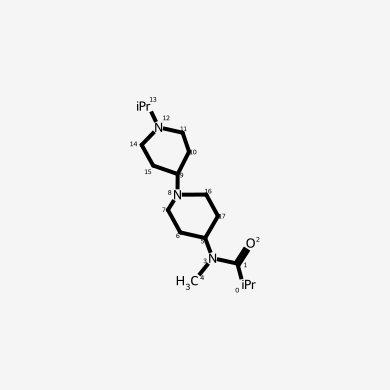 CC(C)C(=O)N(C)C1CCN(C2CCN(C(C)C)CC2)CC1